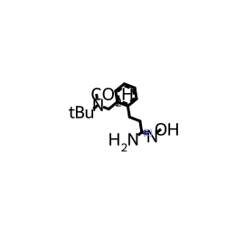 CC(C)(C)N(Cc1ccccc1CC/C(N)=N\O)C(=O)O